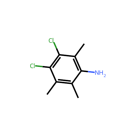 Cc1c(C)c(Cl)c(Cl)c(C)c1N